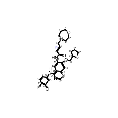 O=C(/C=C/CN1CCCOCC1)Nc1cc2c(Nc3ccc(F)c(Cl)c3)ncnc2cc1OCC1CCCO1